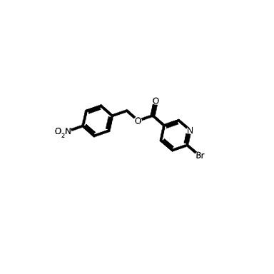 O=C(OCc1ccc([N+](=O)[O-])cc1)c1ccc(Br)nc1